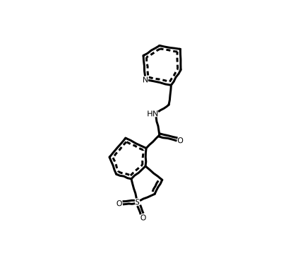 O=C(NCc1ccccn1)c1cccc2c1C=CS2(=O)=O